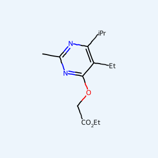 CCOC(=O)COc1nc(C)nc(C(C)C)c1CC